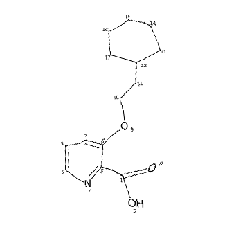 O=C(O)c1ncccc1OCCC1CCCCC1